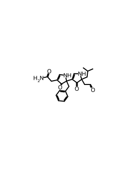 CC(C)CC1(CC=O)NC=C(C2(Cc3ccccc3)NC=C(CC(N)=O)C2=O)C1=O